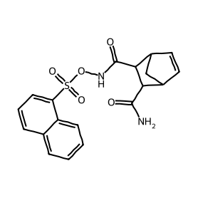 NC(=O)C1C2C=CC(C2)C1C(=O)NOS(=O)(=O)c1cccc2ccccc12